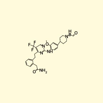 COc1cc(C2CCN(BC=O)CC2)ccc1Nc1ncc(C(F)(F)F)c(CCc2ccccc2CC(N)=O)n1